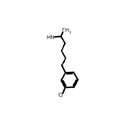 CC([NH])CCCCc1cccc(Cl)c1